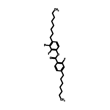 CCCCCCCCc1ccc(OC(=O)c2ccc(CCCCCCC)cc2F)c(F)c1F